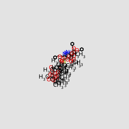 CCC1O[C@@H](OC2[C@H](O[C@H]3CCC4(C)C5CC=C6C7CC(C)(C)CC[C@]7(C(=O)S[C@@H]7OC(COCc8ccccc8)[C@H](N=[N+]=[N-])C(C)C7O[C@@H]7OC(C)[C@H](O[C@@H]8OC[C@@H](OCc9ccccc9)C(OCc9ccccc9)C8C)C8OC(C)(C)OC87)C(OC)C[C@@]6(C)[C@@]5(C)CC[C@H]4[C@@]3(C)C=O)OC(C(C)=O)[C@@H](C)[C@@H]2O[C@@H]2OC[C@@H](C)[C@@H](C)C2C)C(O[Si](CC)(CC)CC)[C@@H](C)[C@@H]1C